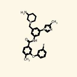 Cc1cn(-c2cc(CN3CCCC(N)C3)cc(NC(=O)c3ccc(C)c(Oc4cccc(F)c4)c3)c2)cn1